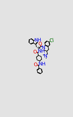 CN(C)CC1Cc2cc(Cl)ccc2N(C(=O)[C@@H](Cc2c[nH]c3ccccc23)NC(=O)C2CCC(NC(=O)c3ccccc3)CC2)C1